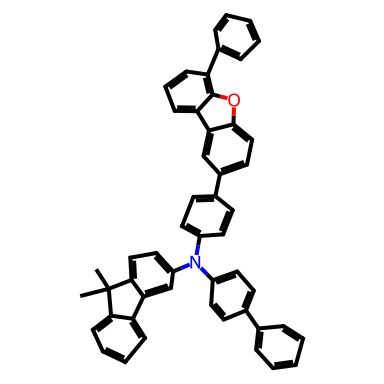 CC1(C)c2ccccc2-c2cc(N(c3ccc(-c4ccccc4)cc3)c3ccc(-c4ccc5oc6c(-c7ccccc7)cccc6c5c4)cc3)ccc21